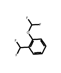 FC(F)Oc1ccc[c]c1C(F)F